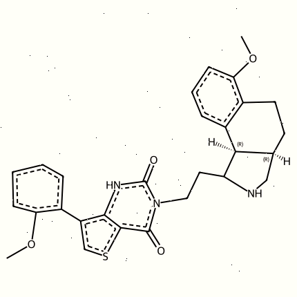 COc1ccccc1-c1csc2c(=O)n(CCC3NC[C@@H]4CCc5c(OC)cccc5[C@H]34)c(=O)[nH]c12